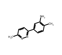 Cc1ccc(-c2ccc(C)c(N)c2)nn1